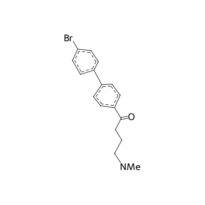 CNCCCC(=O)c1ccc(-c2ccc(Br)cc2)cc1